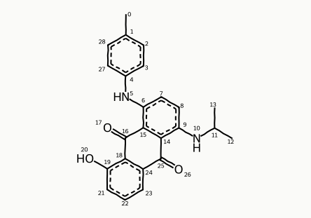 Cc1ccc(Nc2ccc(NC(C)C)c3c2C(=O)c2c(O)cccc2C3=O)cc1